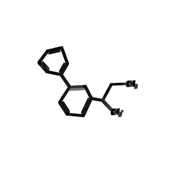 [CH2]C(CC)c1cccc(-c2ccccc2)c1